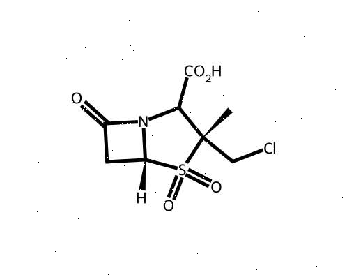 C[C@]1(CCl)C(C(=O)O)N2C(=O)C[C@H]2S1(=O)=O